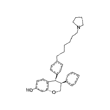 Oc1ccc2c(c1)OC[C@H](c1ccccc1)[C@@H]2c1ccc(CCCCCCN2CCCC2)cc1